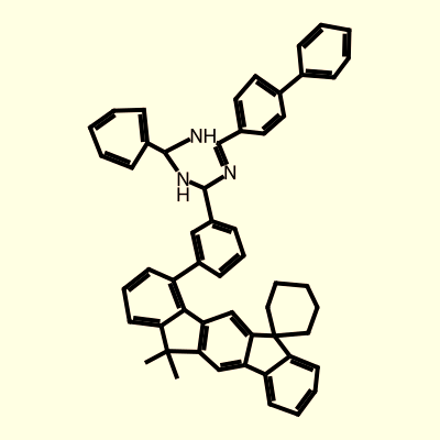 CC1(C)c2cc3c(cc2-c2c(-c4cccc(C5N=C(c6ccc(-c7ccccc7)cc6)NC(c6ccccc6)N5)c4)cccc21)C1(CCCCC1)c1ccccc1-3